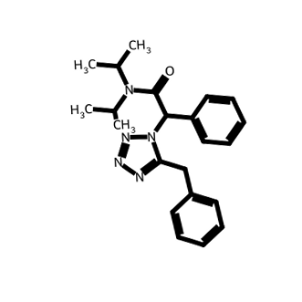 CC(C)N(C(=O)C(c1ccccc1)n1nnnc1Cc1ccccc1)C(C)C